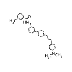 Cc1cccc(C(=O)NCc2cccc(N3CCN(C/C=C/c4ccc(N(C)C)cc4)CC3)c2)c1